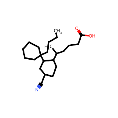 CCCCC1(C2CC(C#N)CCC2C(C)CCCC(=O)O)CCCCC1